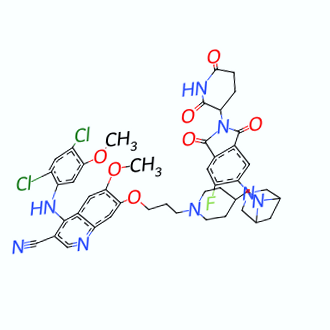 COc1cc(Nc2c(C#N)cnc3cc(OCCCN4CCC(CN5C6CC5CN(c5cc7c(cc5F)C(=O)N(C5CCC(=O)NC5=O)C7=O)C6)CC4)c(OC)cc23)c(Cl)cc1Cl